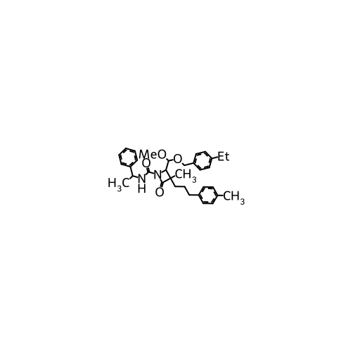 CCc1ccc(COC(OC)C2N(C(=O)NC(C)c3ccccc3)C(=O)C2(C)CCCc2ccc(C)cc2)cc1